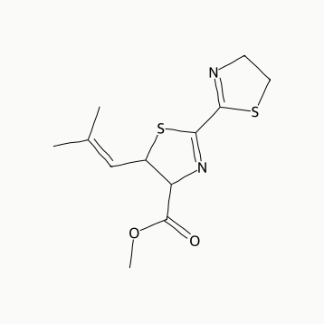 COC(=O)C1N=C(C2=NCCS2)SC1C=C(C)C